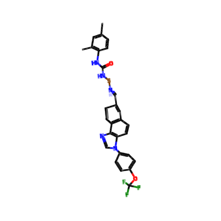 Cc1ccc(NC(=O)NS/N=C/c2ccc3c(ccc4c3ncn4-c3ccc(OC(F)(F)F)cc3)c2)c(C)c1